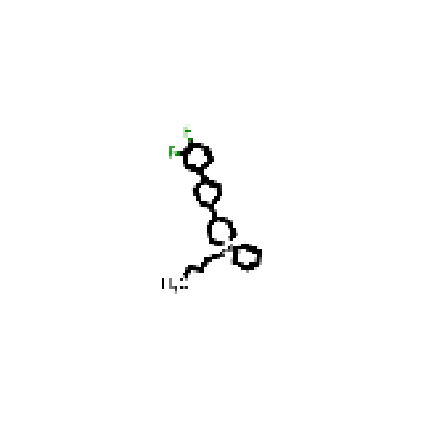 CCCCC[Si]1(c2ccccc2)CCC(C2CC=C(c3ccc(F)c(F)c3)CC2)CC1